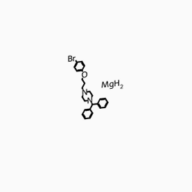 Brc1ccc(OCCCN2CCN(C(c3ccccc3)c3ccccc3)CC2)cc1.[MgH2]